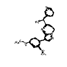 COc1ccc(-c2cnn3ccc(C(N)c4cccnc4)nc23)c(OC)c1